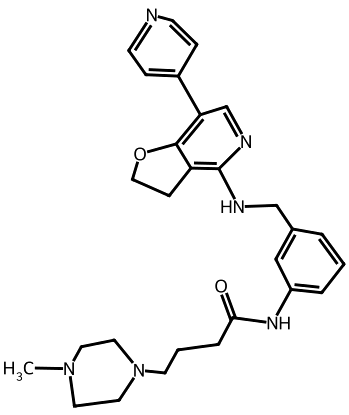 CN1CCN(CCCC(=O)Nc2cccc(CNc3ncc(-c4ccncc4)c4c3CCO4)c2)CC1